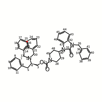 O=C(OC[C@@H](Cc1ccccc1)N(Cc1ccccc1)Cc1ccccc1)N1CCC(n2c(=O)n(Cc3ccccc3)c3ccccc32)CC1